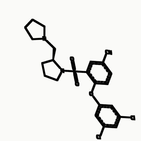 N#Cc1ccc(Oc2cc(Cl)cc(Cl)c2)c(S(=O)(=O)N2CCC[C@H]2CN2CCCC2)c1